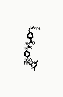 CCCCCOc1ccc(C(=O)NC(=S)Nc2ccc(S(=O)(=O)Nc3nc(C)cc(C)n3)cc2)cc1